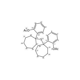 CC(=O)Oc1ccccc1C1(SC2(c3ccccc3OC(C)=O)CCCCCC2)CCCCCC1